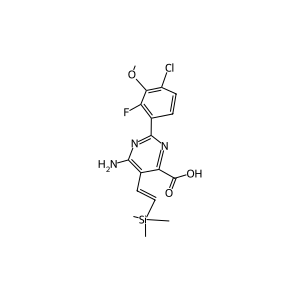 COc1c(Cl)ccc(-c2nc(N)c(C=C[Si](C)(C)C)c(C(=O)O)n2)c1F